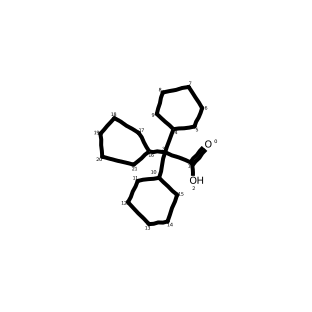 O=C(O)C(C1CCCCC1)(C1CCCCC1)C1CCCCC1